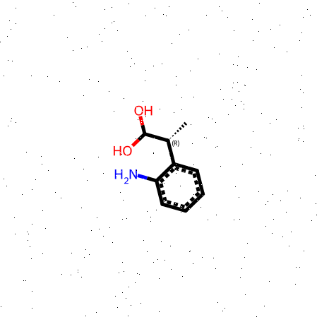 C[C@H](c1ccccc1N)C(O)O